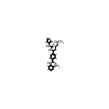 CN(C)CCCC(NC(=O)Nc1ccsc1)c1ccc(C(=O)Nc2ccccc2N)cc1